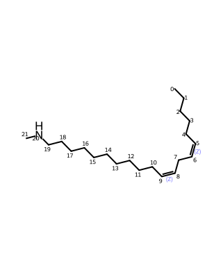 CCCCC/C=C\C/C=C\CCCCCCCCCCNC